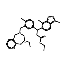 CCOC(=O)CC(c1ccc(C)c(CN2Cc3cccnc3O[C@H](CC)C2)c1)c1ccc2c(nnn2C)c1C